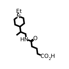 CCN1CCC(C(C)CNC(=O)CCCC(=O)O)CC1